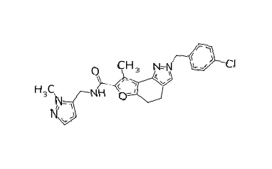 Cc1c(C(=O)NCc2ccnn2C)oc2c1-c1nn(Cc3ccc(Cl)cc3)cc1CC2